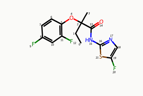 CCC(C)(Oc1ccc(F)cc1F)C(=O)Nc1ncc(F)s1